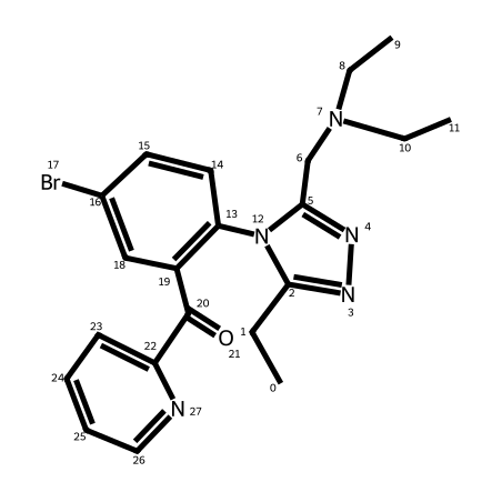 CCc1nnc(CN(CC)CC)n1-c1ccc(Br)cc1C(=O)c1ccccn1